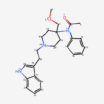 COCC1(N(C(C)=O)c2ccccc2)CCN(CCc2c[nH]c3ccccc23)CC1